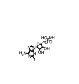 Nc1nc(I)nc2c1ncn2[C@@H]1O[C@H](COP(=O)(O)O)[C@@H](O)[C@H]1O